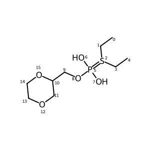 CCS(CC)=P(O)(O)OCC1COCCO1